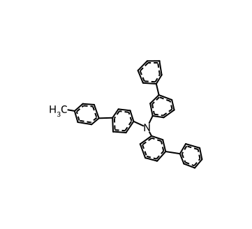 Cc1ccc(-c2ccc(N(c3cccc(-c4ccccc4)c3)c3cccc(-c4ccccc4)c3)cc2)cc1